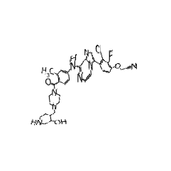 Cc1cc(Nc2nccn3c(-c4ccc(OCC#N)c(F)c4Cl)cnc23)ccc1C(=O)N1CCN(CC2CCNC[C@@H]2O)CC1